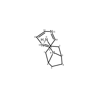 NC1CC2CCC(C1)N2c1cnccn1